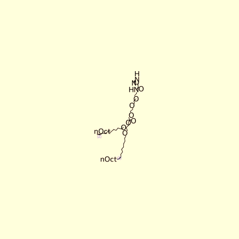 CCCCCCCC/C=C\CCCCCCCCOCC(COC(=O)COCCOCCOCCNC(=O)c1c[nH]cn1)OCCCCCCCC/C=C\CCCCCCCC